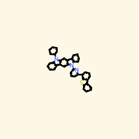 c1ccc(-n2c3ccccc3c3cc4c(cc32)c2ccccc2n4-c2cccc(-c3cccc4c3sc3ccccc34)n2)cc1